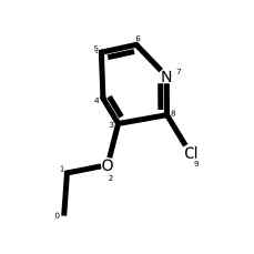 CCOc1c[c]cnc1Cl